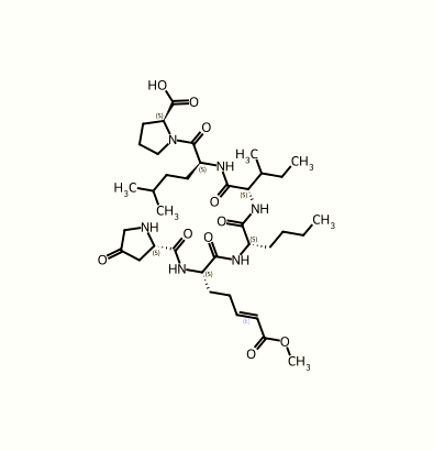 CCCC[C@H](NC(=O)[C@H](CC/C=C/C(=O)OC)NC(=O)[C@@H]1CC(=O)CN1)C(=O)N[C@H](C(=O)N[C@@H](CCC(C)C)C(=O)N1CCC[C@H]1C(=O)O)C(C)CC